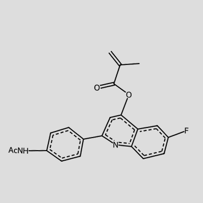 C=C(C)C(=O)Oc1cc(-c2ccc(NC(C)=O)cc2)nc2ccc(F)cc12